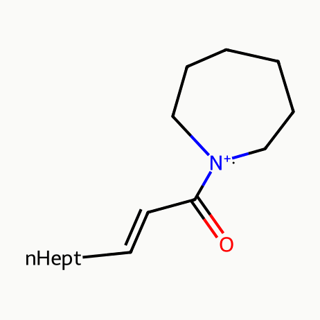 CCCCCCCC=CC(=O)[N+]1CCCCCC1